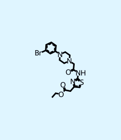 CCOC(=O)Cc1csc(NC(=O)CN2CCN(c3cccc(Br)c3)CC2)n1